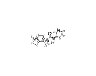 CN1CCc2c1ccc1c2CCN1C(=O)Nc1cccnc1